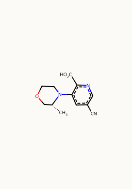 C[C@@H]1COCCN1c1cc(C#N)cnc1C(=O)O